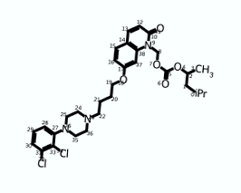 CC(C)CC(C)OC(=O)OCn1c(=O)ccc2ccc(OCCCCN3CCN(c4cccc(Cl)c4Cl)CC3)cc21